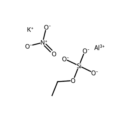 CCO[Si]([O-])([O-])[O-].O=[N+]([O-])[O-].[Al+3].[K+]